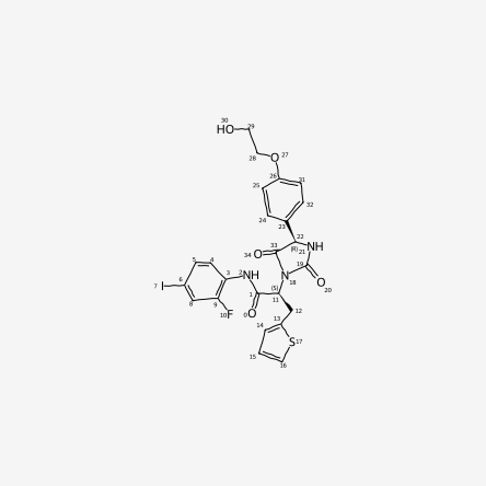 O=C(Nc1ccc(I)cc1F)[C@H](Cc1cccs1)N1C(=O)N[C@H](c2ccc(OCCO)cc2)C1=O